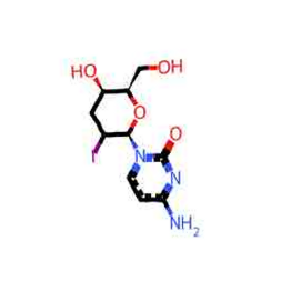 Nc1ccn([C@@H]2O[C@H](CO)[C@H](O)CC2I)c(=O)n1